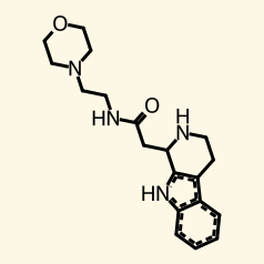 O=C(CC1NCCc2c1[nH]c1ccccc21)NCCN1CCOCC1